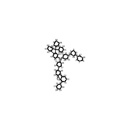 c1ccc(-c2cccc(-c3ccc(N(c4ccc(-c5ccc6oc7c(-c8ccccc8)cccc7c6c5)cc4)c4ccc5c(c4)C(c4ccccc4)(c4ccccc4)c4ccccc4-5)cc3)c2)cc1